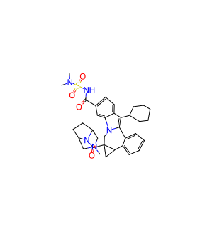 CN1CC2CCC(C1)N2C(=O)C12CC1c1ccccc1-c1c(C3CCCCC3)c3ccc(C(=O)NS(=O)(=O)N(C)C)cc3n1C2